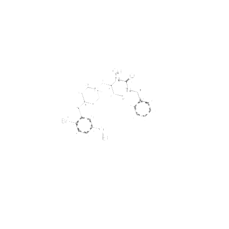 CCOc1ccc(Br)c(CC2CCN(CC3CCN(Cc4ccccc4)C(=O)N3C)CC2)c1